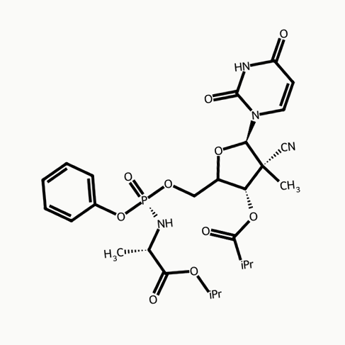 CC(C)OC(=O)[C@H](C)N[P@](=O)(OCC1O[C@@H](n2ccc(=O)[nH]c2=O)[C@](C)(C#N)[C@@H]1OC(=O)C(C)C)Oc1ccccc1